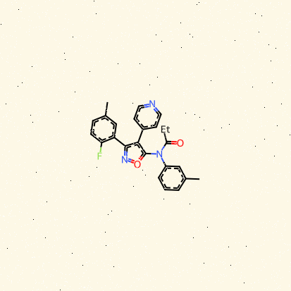 CCC(=O)N(c1cccc(C)c1)c1onc(-c2cc(C)ccc2F)c1-c1ccncc1